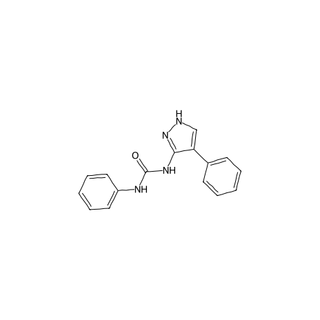 O=C(Nc1ccccc1)Nc1n[nH]cc1-c1ccccc1